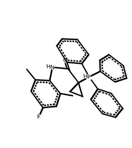 Cc1cc(F)cc(C)c1NC(=O)C1([PH](c2ccccc2)(c2ccccc2)c2ccccc2)CC1